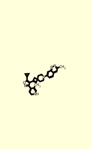 CC1=CNCC=C1c1noc(C2CC2)c1C1=CC2(CCN(c3ccc4cc(C)nnc4c3)CC2)C1